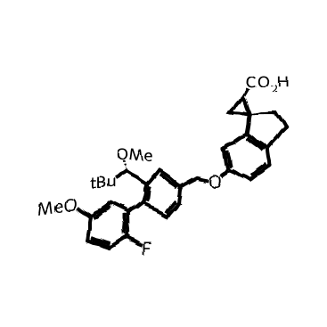 COc1ccc(F)c(-c2ccc(COc3ccc4c(c3)[C@]3(CC4)C[C@H]3C(=O)O)cc2[C@@H](OC)C(C)(C)C)c1